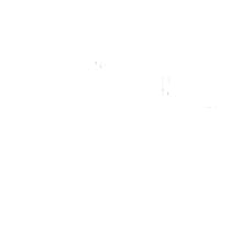 CCC(C)Nc1ccc(C(F)(F)F)cc1[N+](=O)[O-]